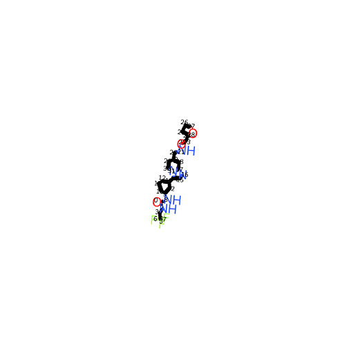 O=C(NCC(F)(F)F)Nc1cccc(-c2cnc3cc(CNOCc4ccco4)ccn23)c1